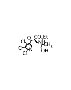 CCOC(=O)C(=CNC(C)CO)C(=O)c1cnc(Cl)c(Cl)c1Cl